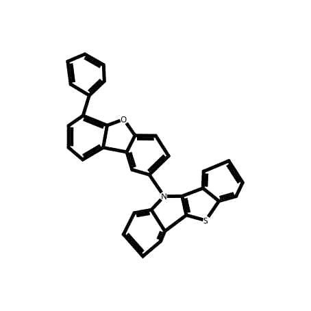 c1ccc(-c2cccc3c2oc2ccc(-n4c5ccccc5c5sc6ccccc6c54)cc23)cc1